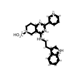 O=C(O)N1CCc2nc(-c3cccnc3)nc(NCCc3c[nH]c4ccccc34)c2C1